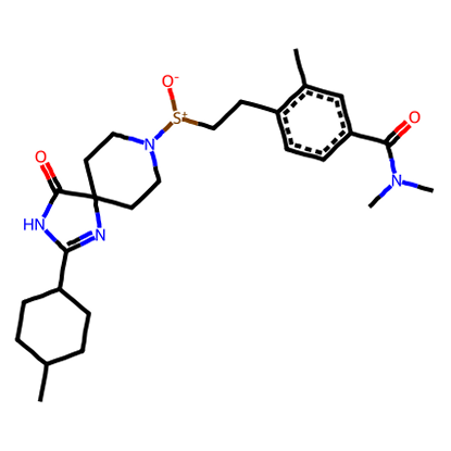 Cc1cc(C(=O)N(C)C)ccc1CC[S+]([O-])N1CCC2(CC1)N=C(C1CCC(C)CC1)NC2=O